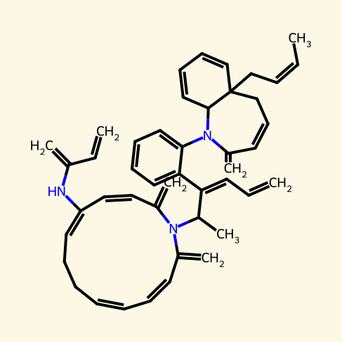 C=C/C=C(/c1ccccc1N1C(=C)C=CCC2(C/C=C\C)C=CC=CC12)C(C)N1C(=C)/C=C\C=C/CC/C=C(NC(=C)C=C)\C=C/C1=C